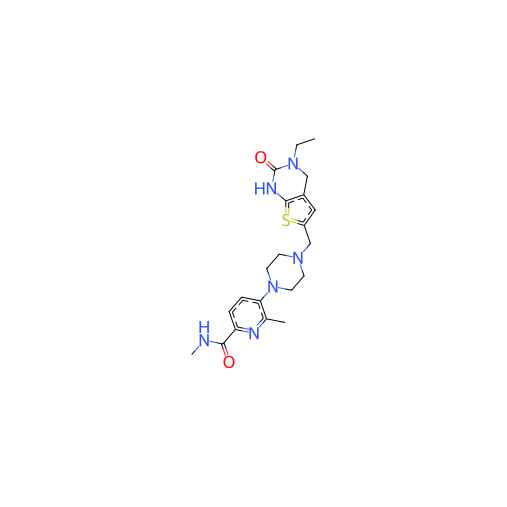 CCN1Cc2cc(CN3CCN(c4ccc(C(=O)NC)nc4C)CC3)sc2NC1=O